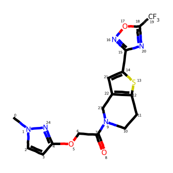 Cn1ccc(OCC(=O)N2CCc3sc(-c4noc(C(F)(F)F)n4)cc3C2)n1